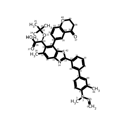 C=NN(C)c1ccc(-c2cccc(-c3nc4cc(C)c([C@H](OC(C)(C)C)C(=O)O)c(-c5ccc6c(c5)C(=O)CCO6)c4s3)c2)cc1C